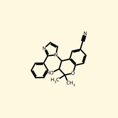 CC1(C)Oc2ccc(C#N)cc2C(n2ccnc2-c2ccccc2)C1O